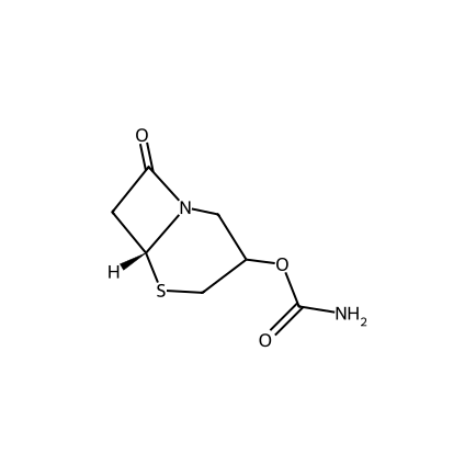 NC(=O)OC1CS[C@@H]2CC(=O)N2C1